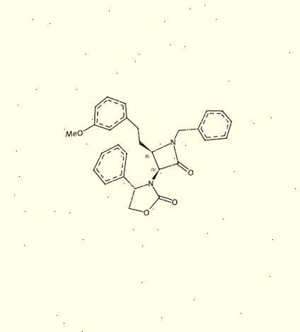 COc1cccc(CC[C@@H]2[C@H](N3C(=O)OCC3c3ccccc3)C(=O)N2Cc2ccccc2)c1